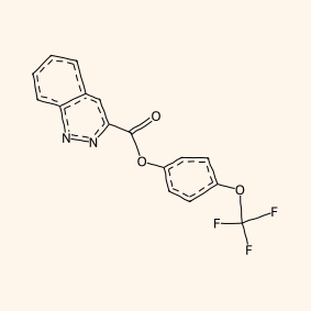 O=C(Oc1ccc(OC(F)(F)F)cc1)c1cc2ccccc2nn1